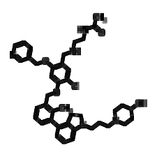 CC(=O)NCCNCc1cc(Cl)c(OCc2cccc(-c3cccc4c3CCN4CCCN3CCC(O)CC3)c2C)cc1OCc1cccnc1